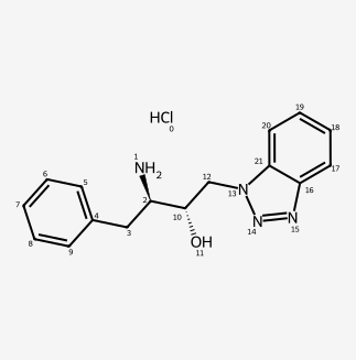 Cl.N[C@H](Cc1ccccc1)[C@@H](O)Cn1nnc2ccccc21